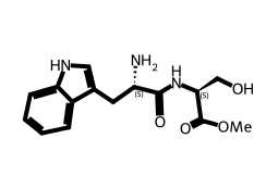 COC(=O)[C@H](CO)NC(=O)[C@@H](N)Cc1c[nH]c2ccccc12